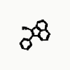 CC(C)C1=C(c2ccccc2)c2cccc3cccc1c23